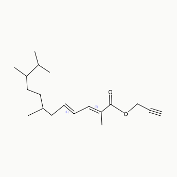 C#CCOC(=O)/C(C)=C/C=C/CC(C)CCC(C)C(C)C